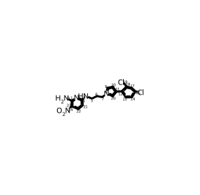 Nc1nc(NCCCn2ccc(-c3ccc(Cl)cc3Cl)c2)ccc1[N+](=O)[O-]